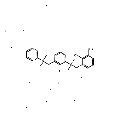 CC(C)(C)c1cccc(CC(C)(C)c2cccc(CC(C)(C)c3ccccc3)c2F)c1Cl